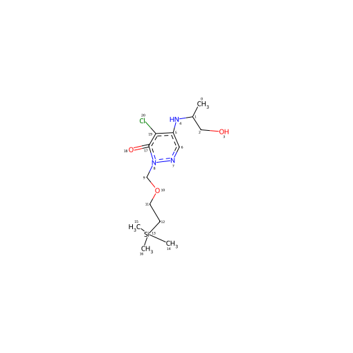 CC(CO)Nc1cnn(COCC[Si](C)(C)C)c(=O)c1Cl